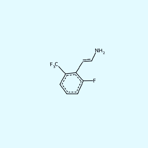 NC=Cc1c(F)cccc1C(F)(F)F